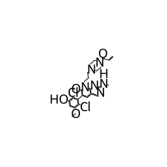 C=CC(=O)N1CCN(CCCn2c(=O)c(-c3c(Cl)c(O)cc(OC)c3Cl)cc3cnc(NC)nc32)CC1